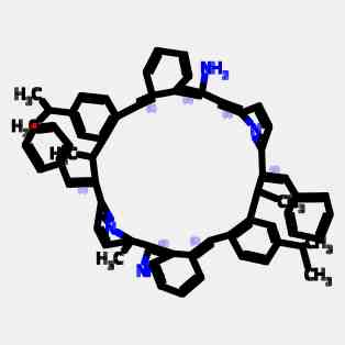 CC(C)c1ccc2c(c1)C(C)/C(=C\c1ccccc1)C1=N\C(=C/C(N)=c3\cccc\c3=C/c3ccc(C(C)C)cc3C(C)/C(=C\c3ccccc3)C3=NC(C)(C=C3)/C(N)=c3\cccc\c3=C/2)C=C1